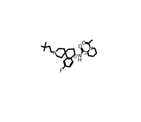 CC(=O)N1CCCC[C@H]1C(=O)N[C@H]1CCC2(CCN(CCC(C)(C)C)CC2)c2cc(F)ccc21